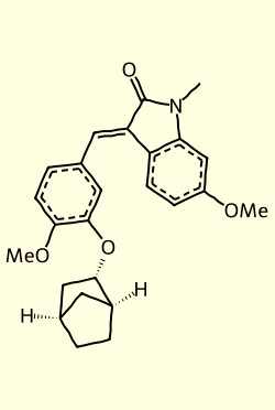 COc1ccc2c(c1)N(C)C(=O)/C2=C/c1ccc(OC)c(O[C@H]2C[C@@H]3CC[C@H]2C3)c1